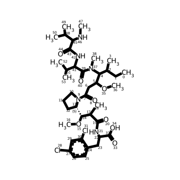 CCC(C)C(C(CC(=O)N1CCC[C@H]1C(OC)C(C)C(=O)NC(Cc1ccc(Cl)cc1Cl)C(=O)O)OC)N(C)C(=O)C(NC(=O)C(NC)C(C)C)C(C)C